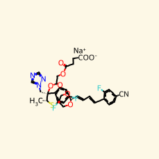 C[C@@H](S[C@H]1CO[C@H](C=CC=Cc2ccc(C#N)cc2F)OC1)[C@@](Cn1cncn1)(OC(=O)COC(=O)CCC(=O)[O-])c1ccc(F)cc1F.[Na+]